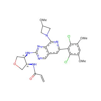 C=CC(=O)N[C@H]1COC[C@H]1Nc1ncc2cc(-c3c(Cl)c(OC)cc(OC)c3Cl)nc(N3CC(OC)C3)c2n1